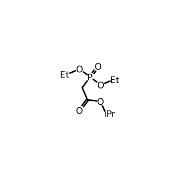 CCOP(=O)(CC(=O)OC(C)C)OCC